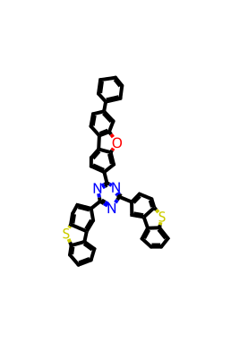 c1ccc(-c2ccc3c(c2)oc2cc(-c4nc(-c5ccc6sc7ccccc7c6c5)nc(-c5ccc6sc7ccccc7c6c5)n4)ccc23)cc1